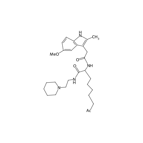 COc1ccc2[nH]c(C)c(CC(=O)NC(CCCCCC(C)=O)C(=O)NCCN3CCCCC3)c2c1